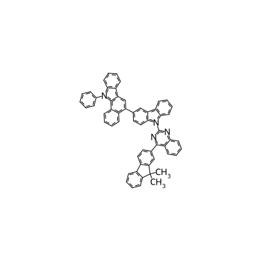 CC1(C)c2ccccc2-c2ccc(-c3nc(-n4c5ccccc5c5cc(-c6cc7c8ccccc8n(-c8ccccc8)c7c7ccccc67)ccc54)nc4ccccc34)cc21